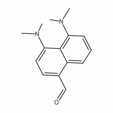 CN(C)c1cccc2c(C=O)ccc(N(C)C)c12